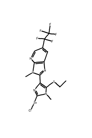 CCSc1c(-c2nc3cc(C(F)(F)C(F)(F)F)cnc3n2C)n[c]([Zn][Cl])n1C